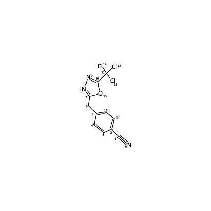 N#Cc1ccc(Cc2nnc(C(Cl)(Cl)Cl)o2)cc1